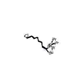 CC(C)[Si](O/C(=C\CCCCC=CCl)C(C)(C)C)(C(C)C)C(C)C